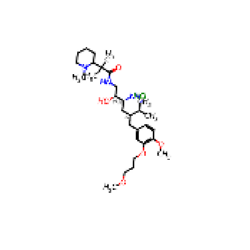 COCCCOc1cc(C[C@@H](C[C@H](N)[C@@H](O)CNC(=O)C(C)(C)C2CCCCN2C)C(C)C)ccc1OC.Cl